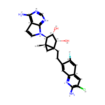 Nc1nc2cc(CC[C@@]34C[C@@H]3[C@@H](n3ccc5c(N)ncnc53)[C@H](O)[C@@H]4O)c(F)cc2cc1Cl